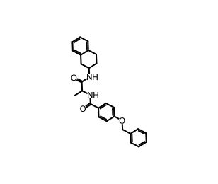 CC(NC(=O)c1ccc(OCc2ccccc2)cc1)C(=O)NC1CCc2ccccc2C1